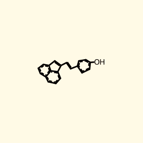 Oc1ccc(C=CC2=Cc3cccc4cccc2c34)cc1